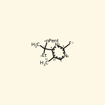 CCCCCC(C)(CC)c1nc(F)ncc1C